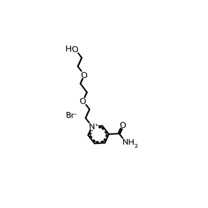 NC(=O)c1ccc[n+](CCOCCOCCO)c1.[Br-]